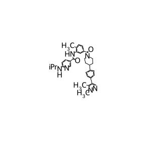 Cc1ccc(C(=O)N2CCC(c3ccc(-c4cnn(C)c4C)cc3)CC2)cc1NC(=O)c1ccc(NC(C)C)nc1